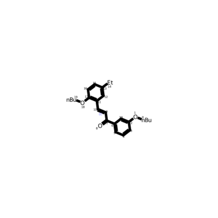 CCCCOc1cccc(C(=O)/C=C/c2cc(CC)ccc2OCCCC)c1